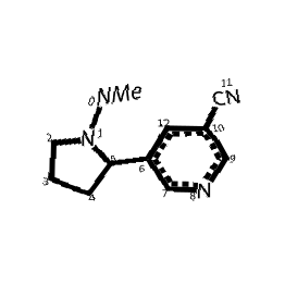 CNN1CCCC1c1cncc(C#N)c1